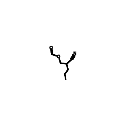 CCCC(C#N)COC=O